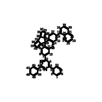 c1ccc(-c2cc(-c3ccc4c(c3)Sc3cc(-c5cccc6cccnc56)ccc3C43c4ccccc4-c4ccccc43)nc(-c3ccccc3)n2)cc1